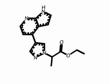 CCOC(=O)C(C)n1cc(-c2ccnc3[nH]ccc23)cn1